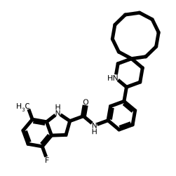 Cc1ccc(F)c2c1NC(C(=O)Nc1cccc(C3CCC4(CCCCCCCCC4)CN3)c1)C2